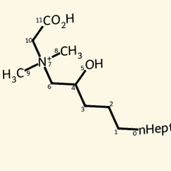 CCCCCCCCCCC(O)C[N+](C)(C)CC(=O)O